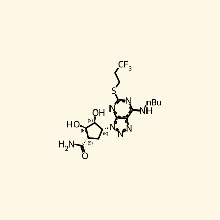 CCCCNc1nc(SCCC(F)(F)F)nc2c1nnn2[C@@H]1C[C@H](C(N)=O)[C@@H](O)[C@H]1O